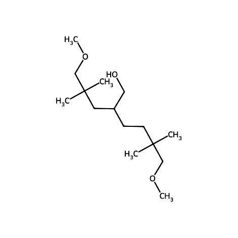 COCC(C)(C)CCC(CO)CC(C)(C)COC